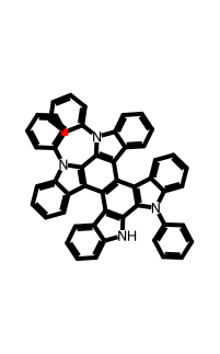 c1ccc(-n2c3ccccc3c3c4c(c5c6ccccc6[nH]c5c32)c2c3ccccc3n(-c3ccccc3)c2c2c4c3ccccc3n2-c2ccccc2)cc1